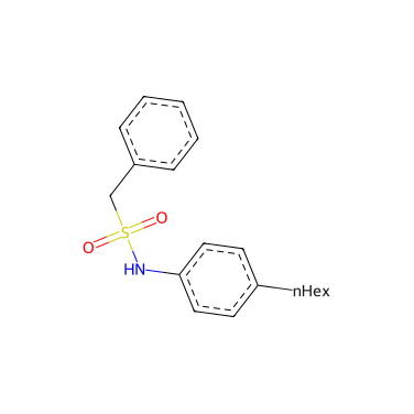 CCCCCCc1ccc(NS(=O)(=O)Cc2ccccc2)cc1